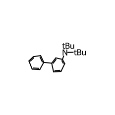 CC(C)(C)N(c1cccc(-c2ccccc2)c1)C(C)(C)C